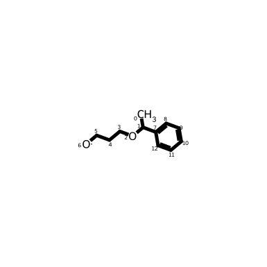 CC(OCCC[O])c1ccccc1